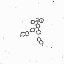 CC1(c2ccccc2)c2ccccc2-c2c1ccc(-c1ccc(-c3ccc4cnccc4c3)cc1)c2-c1ccc(-c2ccc3cnccc3c2)cc1